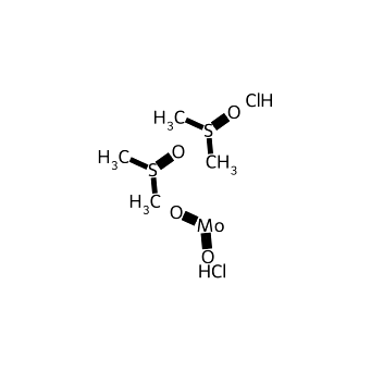 CS(C)=O.CS(C)=O.Cl.Cl.[O]=[Mo]=[O]